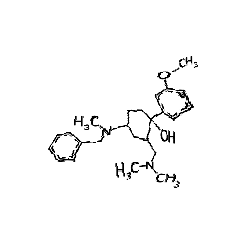 COc1cccc(C2(O)CCC(N(C)Cc3ccccc3)CC2CN(C)C)c1